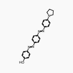 Oc1ccc(N=Nc2ccc(N=Nc3ccc(N4CCCC4)cc3)cc2)cc1